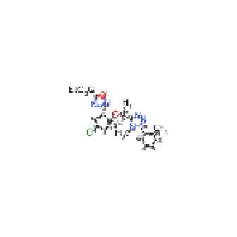 CCOC(=O)c1nc(-c2cc(Cl)ccc2OC(C)(C)c2nnc(-c3ccccc3C(F)(F)F)n2C)no1